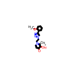 COc1ccccc1-c1cn(CCn2ccc(=O)c(O)c2C)nn1